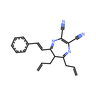 C=CCC1=NC(C#N)=C(C#N)N=C(C=Cc2ccccc2)C1CC=C